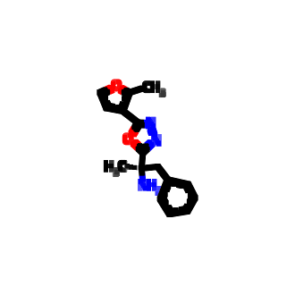 Cc1occc1-c1nnc([C@](C)(N)Cc2ccccc2)o1